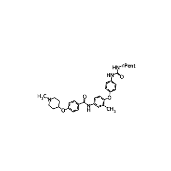 CCCCCNC(=O)Nc1ccc(Oc2ccc(NC(=O)c3ccc(OC4CCN(C)CC4)cc3)cc2C)cc1